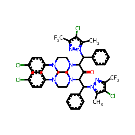 Cc1c(Cl)c(C(F)(F)F)nn1C(c1ccccc1)C(C(=O)C(C(c1ccccc1)n1nc(C(F)(F)F)c(Cl)c1C)N1CCN(c2ccc(Cl)cc2)CC1)N1CCN(c2ccc(Cl)cc2)CC1